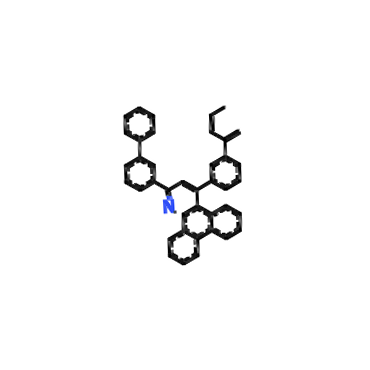 C=C(/C=C\C)c1cccc(/C(=C/C(=N\C)c2cccc(-c3ccccc3)c2)c2cc3ccccc3c3ccccc23)c1